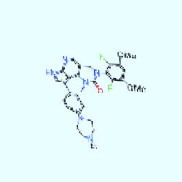 CCN1CCN(c2ccc(-c3c[nH]c4ncc5c(c34)N(C)C(=O)N(c3c(F)c(OC)cc(OC)c3F)C5)cc2)CC1